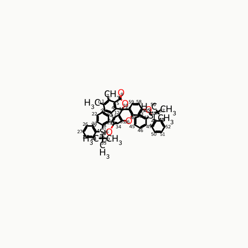 Cc1ccc2c(c1C)C(=O)OC21c2ccc(O[Si](c3ccccc3)(c3ccccc3)C(C)(C)C)cc2Oc2cc(O[Si](c3ccccc3)(c3ccccc3)C(C)(C)C)ccc21